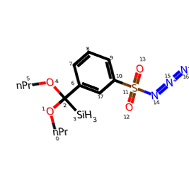 CCCOC([SiH3])(OCCC)c1cccc(S(=O)(=O)N=[N+]=[N-])c1